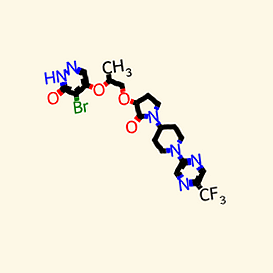 CC(COC1CCN(C2CCN(c3cnc(C(F)(F)F)cn3)CC2)C1=O)Oc1cn[nH]c(=O)c1Br